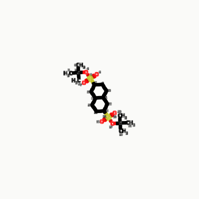 C[Si](C)(C)OS(=O)(=O)C1CCC2CC(S(=O)(=O)O[Si](C)(C)C)CCC2C1